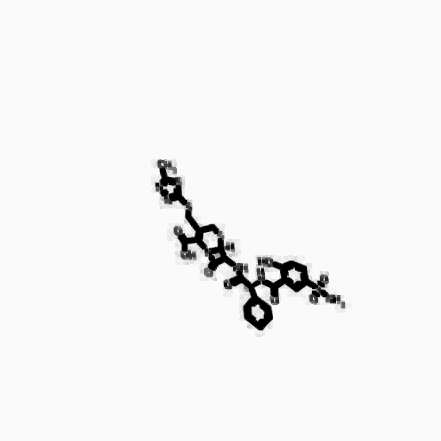 Cc1nnc(SCC2=C(C(=O)O)N3C(=O)C(NC(=O)[C@@H](NC(=O)c4cc(S(N)(=O)=O)ccc4O)c4ccccc4)[C@@H]3SC2)s1